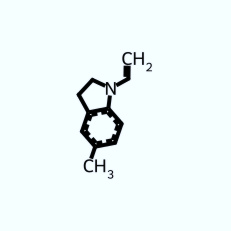 C=CN1CCc2cc(C)ccc21